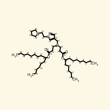 CCCCCCCCC(CCCCCC)OC(=O)CCN(CCC(=O)OC(CCCCCC)CCCCCCCC)Cc1cnn(CCN2CCCC2)c1